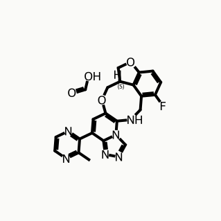 Cc1nccnc1-c1cc2c(n3cnnc13)NCc1c(F)ccc3c1[C@@H](CO3)CO2.O=CO